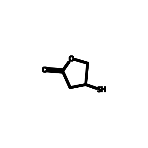 O=C1CC(S)CO1